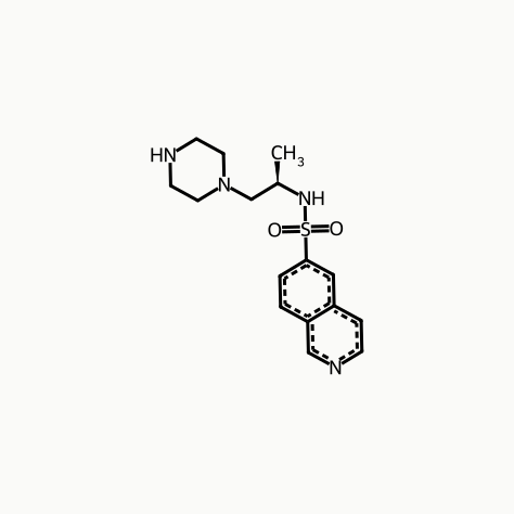 C[C@H](CN1CCNCC1)NS(=O)(=O)c1ccc2cnccc2c1